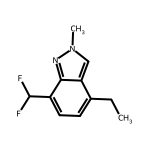 CCc1ccc(C(F)F)c2nn(C)cc12